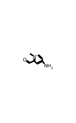 C[n+]1ccc(N)cc1C=O